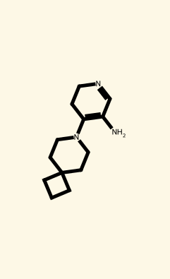 NC1=C(N2CCC3(CCC3)CC2)CCN=C1